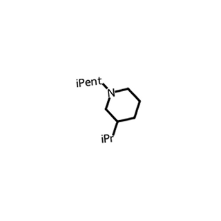 CCCC(C)N1CCCC(C(C)C)C1